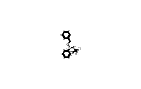 ClC(Cl)(Cl)SN(SCc1ccccc1)c1ccccc1